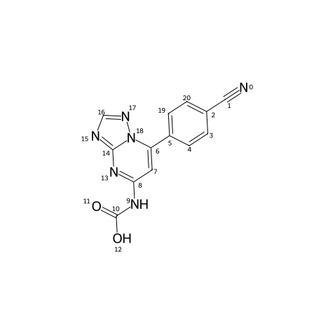 N#Cc1ccc(-c2cc(NC(=O)O)nc3ncnn23)cc1